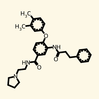 Cc1ccc(Oc2ccc(C(=O)NCCN3CCCC3)cc2NC(=O)CCc2ccccc2)cc1C